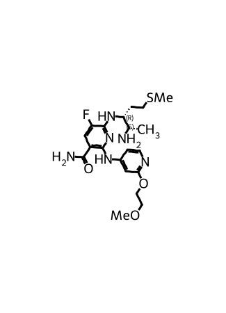 COCCOc1cc(Nc2nc(N[C@H](CCSC)[C@H](C)N)c(F)cc2C(N)=O)ccn1